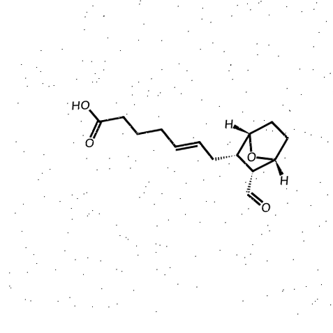 O=C[C@@H]1[C@H](CC=CCCCC(=O)O)[C@@H]2CC[C@H]1O2